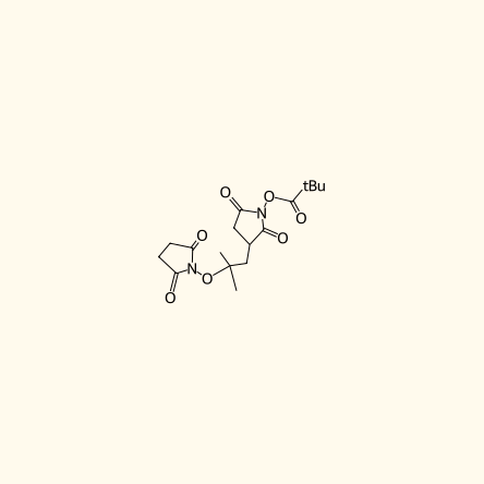 CC(C)(CC1CC(=O)N(OC(=O)C(C)(C)C)C1=O)ON1C(=O)CCC1=O